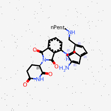 CCCCCNCC1=C/C=C(CNc2cccc3c2C(=O)N([C@@H]2CCC(=O)NC2=O)C3=O)/C=C(N)\C=C\1